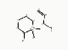 C=CCCl.CC1CCCC[Si]1(C)C